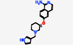 Nc1nccc2cc(O[C@H]3CCCN(Cc4cc[nH]c4)C3)ccc12